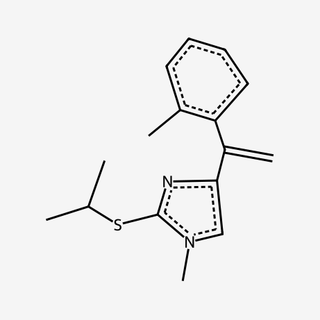 C=C(c1cn(C)c(SC(C)C)n1)c1ccccc1C